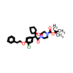 CC(C)(C)OC(=O)N1CCN(C(=O)C(c2ccc(OCCc3ccccc3)c(Cl)c2)C2(O)CCCCC2)CC1